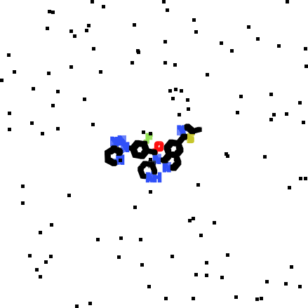 Cc1cnc(-c2ccc3c(N(C(=O)c4ccc(-n5nnc6cccnc65)cc4F)[C@@H]4CCCNC4)nccc3c2)s1